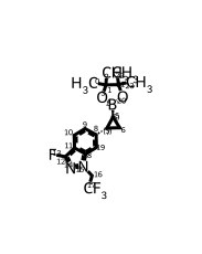 CC1(C)OB([C@H]2C[C@@H]2c2ccc3c(F)nn(CC(F)(F)F)c3c2)OC1(C)C